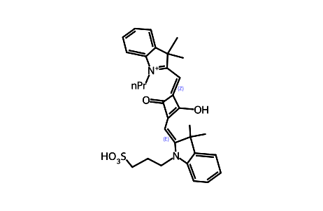 CCC[N+]1=C(/C=C2\C(=O)C(/C=C3/N(CCCS(=O)(=O)O)c4ccccc4C3(C)C)=C2O)C(C)(C)c2ccccc21